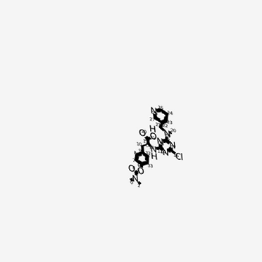 CN(C)C(=O)Oc1ccc(C[C@H](Nc2nc(Cl)nc(N(C)Cc3cccnc3)n2)C(=O)O)cc1